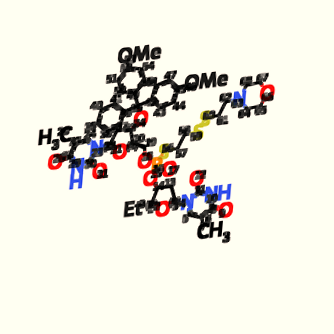 CC[C@H]1O[C@@H](n2cc(C)c(=O)[nH]c2=O)CC1OP(=O)(OC[C@H]1O[C@@H](n2cc(C)c(=O)[nH]c2=O)CC1OC(c1ccccc1)(c1ccc(OC)cc1)c1ccc(OC)cc1)SCCSSCCN1CCOCC1